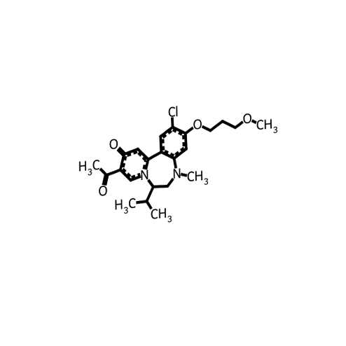 COCCCOc1cc2c(cc1Cl)-c1cc(=O)c(C(C)=O)cn1C(C(C)C)CN2C